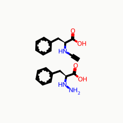 C#CN[C@@H](Cc1ccccc1)C(=O)O.NN[C@@H](Cc1ccccc1)C(=O)O